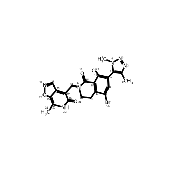 Cc1nnn(C)c1-c1cc(Br)c2c(c1Cl)C(=O)N(Cc1c(=O)[nH]c(C)c3oncc13)CC2